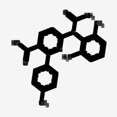 Cc1ccc(-c2nc(N(C(N)=O)c3c(C)cccc3C)ccc2C(=O)O)cc1